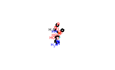 C[C@H](NCCP(=O)(OC[C@@]1(CF)O[C@@H](c2ccc3c(N)ncnn23)[C@H](O)[C@@H]1O)Oc1ccccc1)C(=O)OC1CCOCC1